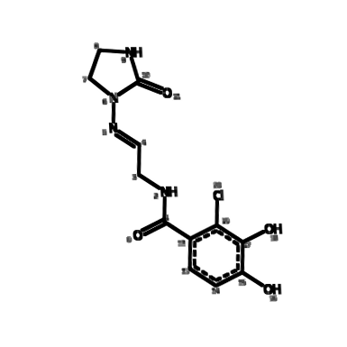 O=C(NC/C=N/N1CCNC1=O)c1ccc(O)c(O)c1Cl